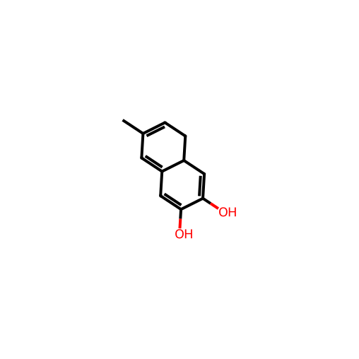 CC1=CCC2C=C(O)C(O)=CC2=C1